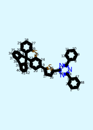 c1ccc(-c2nc(-c3ccccc3)nc(-c3ccc(-c4ccc5c(c4)Sc4ccccc4C54c5ccccc5-c5ccccc54)s3)n2)cc1